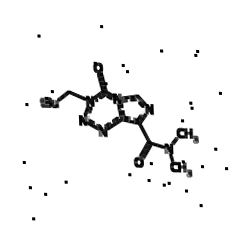 CN(C)C(=O)c1ncn2c(=O)n(CC(C)(C)C)nnc12